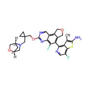 N#Cc1c(N)sc2c(F)cnc(-c3c4c(c5cnc(OCC6(CN7C[C@H]8C[C@@H]7CO8)CC6)nc5c3F)COC4)c12